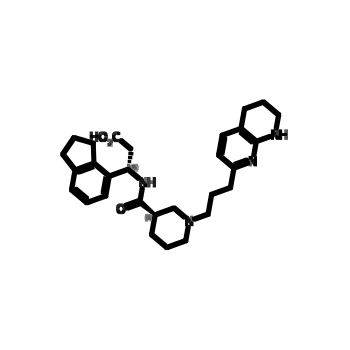 O=C(O)C[C@H](NC(=O)[C@@H]1CCCN(CCCc2ccc3c(n2)NCCC3)C1)c1cccc2c1CCC2